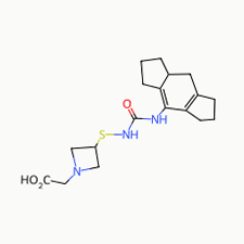 O=C(O)CN1CC(SNC(=O)NC2=C3CCCC3CC3=C2CCC3)C1